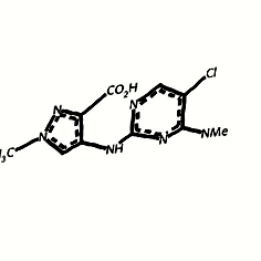 CNc1nc(Nc2cn(C)nc2C(=O)O)ncc1Cl